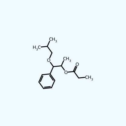 CCC(=O)OC(C)C(OCC(C)C)c1ccccc1